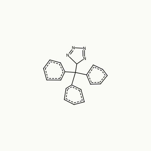 c1ccc(C(c2ccccc2)(c2ccccc2)C2N=NN=N2)cc1